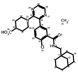 O=C(NCC12CCCC(CCC1)C2)c1cc(-c2nccnc2N2CCC(C(=O)O)CC2)ccc1Cl.[CH2]